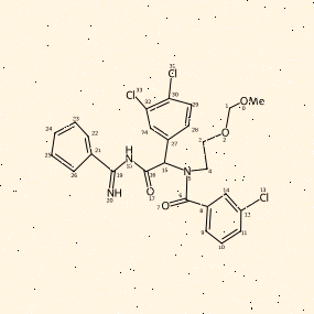 COCOCCN(C(=O)c1cccc(Cl)c1)C(C(=O)NC(=N)c1ccccc1)c1ccc(Cl)c(Cl)c1